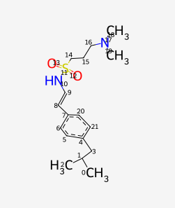 CC(C)Cc1ccc(C=CNS(=O)(=O)CCCN(C)C)cc1